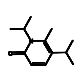 Cc1c(C(C)C)ccc(=O)n1C(C)C